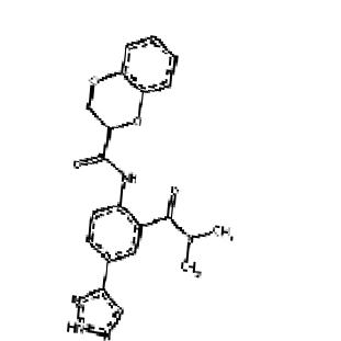 CN(C)C(=O)c1cc(-c2cn[nH]n2)ccc1NC(=O)C1COc2ccccc2O1